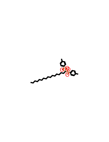 CCCCCCCCCCCCCCCCC(S(=O)(=O)c1ccc(C)cc1)S(=O)(=O)c1ccc(C)cc1